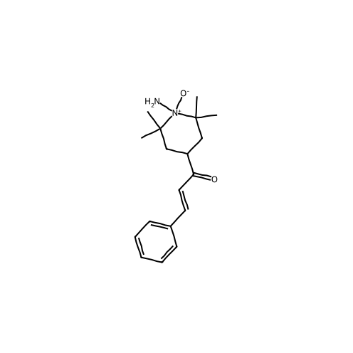 CC1(C)CC(C(=O)C=Cc2ccccc2)CC(C)(C)[N+]1(N)[O-]